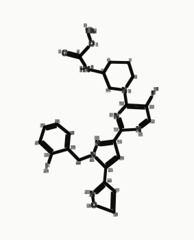 CC(C)(C)OC(=O)NC1CCCN(c2nc(-c3cc(-c4ccon4)n(Cc4ccccc4F)n3)ncc2F)C1